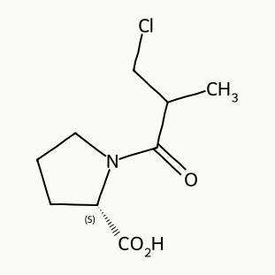 CC(CCl)C(=O)N1CCC[C@H]1C(=O)O